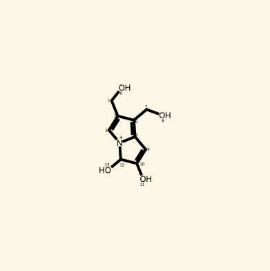 OCc1cn2c(c1CO)C=C(O)C2O